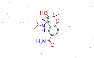 CC(C)N[C@@]1(C)c2cc(C(N)=O)ccc2OC(C)(C)[C@@H]1O